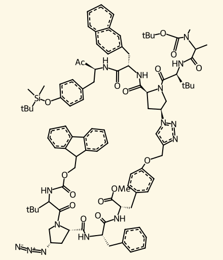 COC(=O)[C@H](Cc1ccc(OCc2cn([C@H]3C[C@@H](C(=O)N[C@@H](Cc4ccc5ccccc5c4)C(=O)N[C@@H](Cc4ccc(O[Si](C)(C)C(C)(C)C)cc4)C(C)=O)N(C(=O)[C@@H](NC(=O)C(C)N(C)C(=O)OC(C)(C)C)C(C)(C)C)C3)nn2)cc1)NC(=O)[C@H](Cc1ccccc1)NC(=O)[C@@H]1C[C@H](N=[N+]=[N-])CN1C(=O)C(NC(=O)OCC1c2ccccc2-c2ccccc21)C(C)(C)C